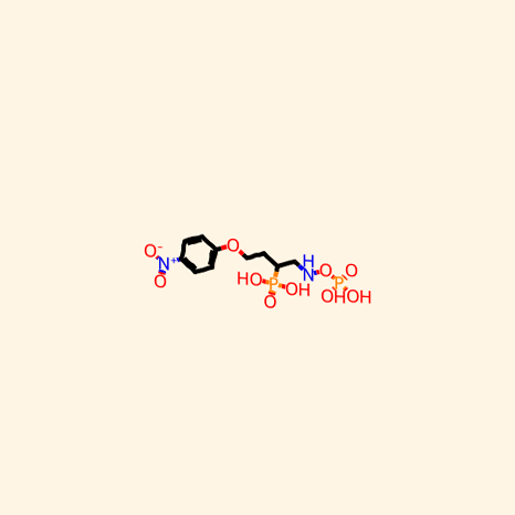 O=[N+]([O-])c1ccc(OCCC(CNOP(=O)(O)O)P(=O)(O)O)cc1